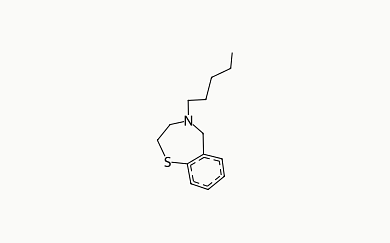 CCCCCN1CCSc2ccccc2C1